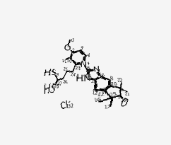 COc1cc[n+](-c2nc3cc4c(cc3[nH]2)C(C)(C)C(=O)C4(C)C)c(CCCC(S)S)c1C.[Cl-]